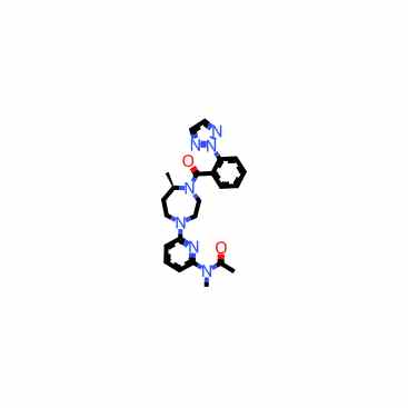 CC(=O)N(C)c1cccc(N2CC[C@@H](C)N(C(=O)c3ccccc3-n3nccn3)CC2)n1